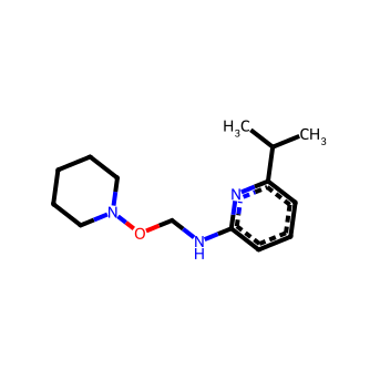 CC(C)c1cccc(NCON2CCCCC2)n1